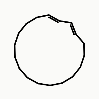 [C]1=C/C=C/CCCCCCCCCCCCCC/1